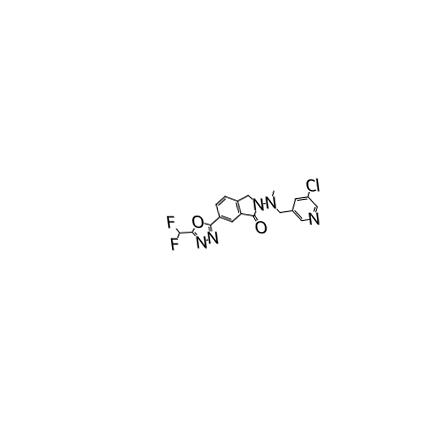 CN(Cc1cncc(Cl)c1)N1Cc2ccc(-c3nnc(C(F)F)o3)cc2C1=O